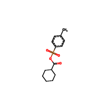 Cc1ccc(S(=O)(=O)OC(=O)C2CCCCC2)cc1